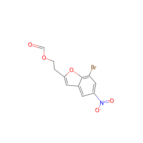 O=COCCc1cc2cc([N+](=O)[O-])cc(Br)c2o1